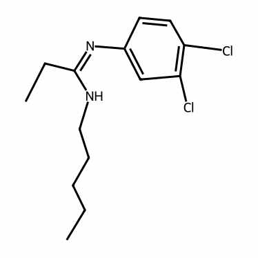 CCCCCN/C(CC)=N\c1ccc(Cl)c(Cl)c1